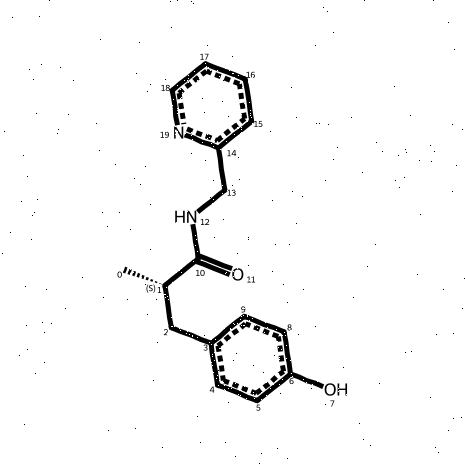 C[C@@H](Cc1ccc(O)cc1)C(=O)NCc1ccccn1